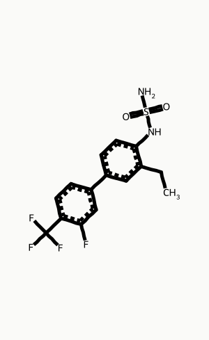 CCc1cc(-c2ccc(C(F)(F)F)c(F)c2)ccc1NS(N)(=O)=O